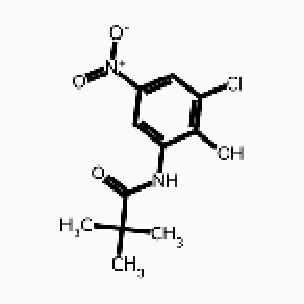 CC(C)(C)C(=O)Nc1cc([N+](=O)[O-])cc(Cl)c1O